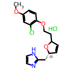 COc1ccc(OCCC2C=C[C@H](Cc3ncc[nH]3)O2)c(Cl)c1.Cl